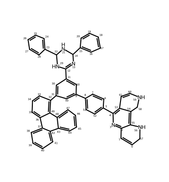 C1=Cc2nc(-c3ccc(-c4cc(C5=NC(c6ccccc6)NC(c6ccccc6)N5)cc(-c5cccc6c7ccccc7c7ccccc7c56)c4)cc3)c3c(c2NC1)CNC=C3